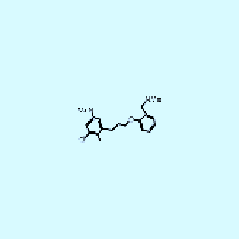 CNCc1ccccc1OCCCc1cc(NC)cc(Cl)c1C